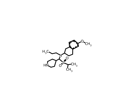 CCCN(C1CCc2cc(OC)ccc2C1)C(C1CCNCC1)S(=O)(=O)C(C)C